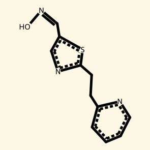 O/N=C\c1cnc(CCc2ccccn2)s1